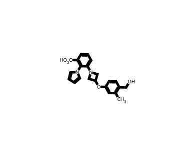 Cc1cc(OC2CN(c3cccc(C(=O)O)c3-n3cccc3)C2)ccc1CO